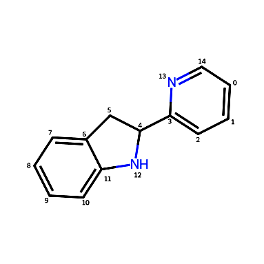 c1ccc(C2Cc3ccccc3N2)nc1